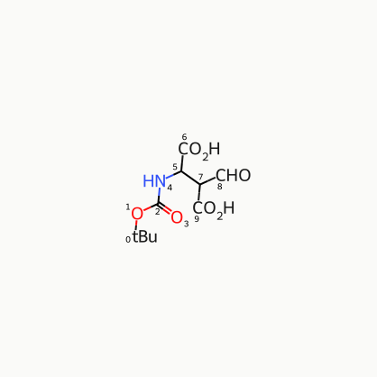 CC(C)(C)OC(=O)NC(C(=O)O)C(C=O)C(=O)O